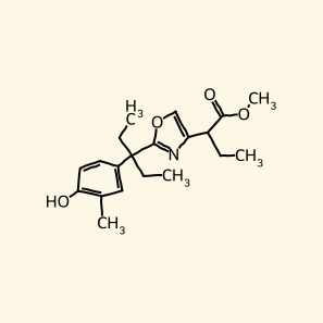 CCC(C(=O)OC)c1coc(C(CC)(CC)c2ccc(O)c(C)c2)n1